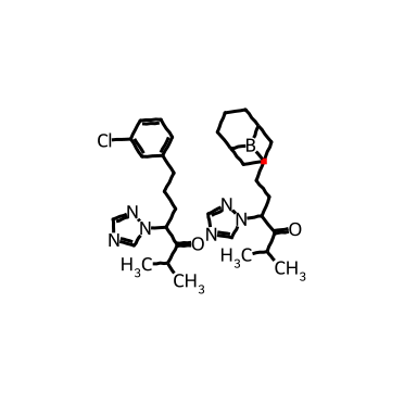 CC(C)C(=O)C(CCCB1C2CCCC1CCC2)n1cncn1.CC(C)C(=O)C(CCCc1cccc(Cl)c1)n1cncn1